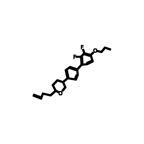 C=CCCC1CCC(c2ccc(-c3ccc(OCCC)c(F)c3F)cc2)CO1